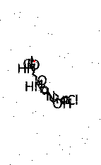 CC(C)(C)S(=O)(=O)NCCCCC(=O)Nc1ccc(N2CCC(O)(c3ccc(Cl)cc3)CC2)cc1